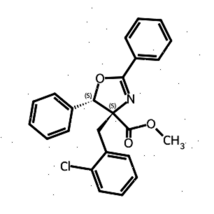 COC(=O)[C@@]1(Cc2ccccc2Cl)N=C(c2ccccc2)O[C@H]1c1ccccc1